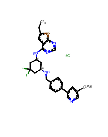 COc1cncc(-c2ccc(CN[C@@H]3C[C@H](Nc4ncnc5sc(CC(F)(F)F)cc45)CC(F)(F)C3)cc2)c1.Cl